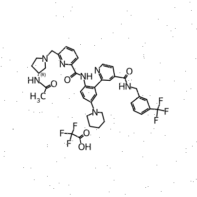 CC(=O)N[C@@H]1CCN(Cc2cccc(C(=O)Nc3ccc(N4CCCCC4)cc3-c3cc(C(=O)NCc4cccc(C(F)(F)F)c4)ccn3)n2)C1.O=C(O)C(F)(F)F